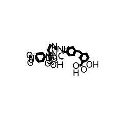 C[C@H](Nc1nccc(N(c2ccc([N+](=O)[O-])cc2)S(=O)(=O)O)n1)c1ccc(Cc2ccc(O)c(C(=O)O)c2)cc1